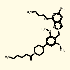 CCCCNc1nc(N)nc2cn(Cc3c(OC)cc(N4CCN(C(=O)CCCCN)CC4)cc3OC)nc12